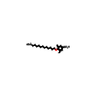 CCCCCCCCCCCCCCCCCCCCCCOc1c(C)cc(S(=O)(=O)O)cc1C